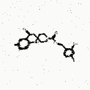 O=C1CC2(CCN(C(=O)NCc3ccc(F)cc3O)CC2)Nc2ccc(F)cc21